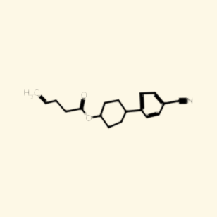 C=CCCC(=O)OC1CCC(c2ccc(C#N)cc2)CC1